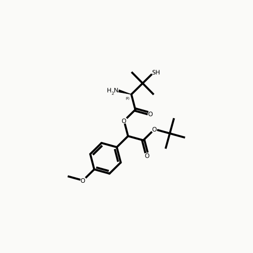 COc1ccc(C(OC(=O)[C@@H](N)C(C)(C)S)C(=O)OC(C)(C)C)cc1